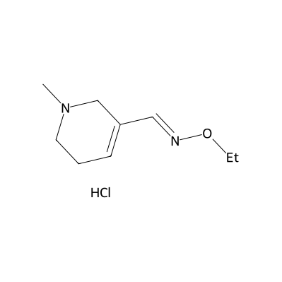 CCO/N=C/C1=CCCN(C)C1.Cl